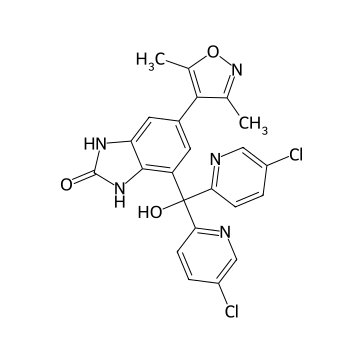 Cc1noc(C)c1-c1cc(C(O)(c2ccc(Cl)cn2)c2ccc(Cl)cn2)c2[nH]c(=O)[nH]c2c1